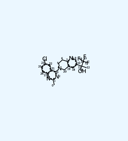 Cc1nc(N2CCc3ncc(C(C)(O)C(F)(F)F)cc3C2)c2cc(Cl)ccc2n1